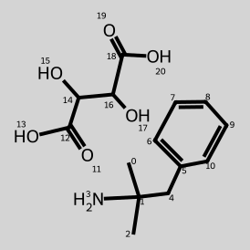 CC(C)(N)Cc1ccccc1.O=C(O)C(O)C(O)C(=O)O